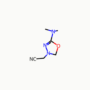 CN(C)C1=NN(CC#N)CO1